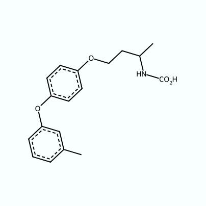 Cc1cccc(Oc2ccc(OCCC(C)NC(=O)O)cc2)c1